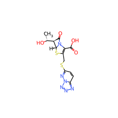 C[C@@H](O)[C@H]1C(=O)N2C(C(=O)O)=C(CSc3ccc4nnnn4n3)S[C@H]12